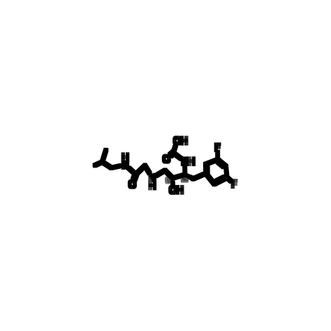 CC(C)CNC(=O)CNC[C@H](O)[C@H](Cc1cc(F)cc(F)c1)NC(=O)O